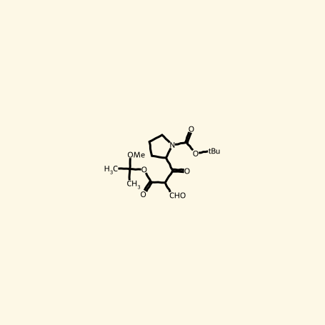 COC(C)(C)OC(=O)C(C=O)C(=O)C1CCCN1C(=O)OC(C)(C)C